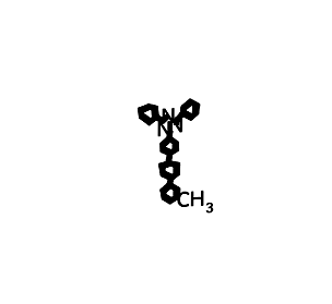 Cc1cccc(-c2ccc(-c3ccc(-c4nc(-c5ccccc5)nc(-c5ccccc5)n4)cc3)cc2)c1